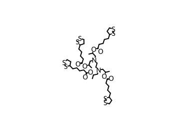 CC(CN(CCN(CC(C)OC(=O)CCCCC1CCSS1)CC(C)OC(=O)CCCCC1CCSS1)CC(C)OC(=O)CCCCC1CCSS1)OC(=O)CCCCC1CCSS1